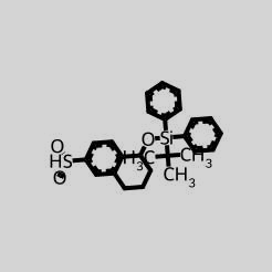 CC(C)(C)[Si](OC1CCCc2cc([SH](=O)=O)ccc21)(c1ccccc1)c1ccccc1